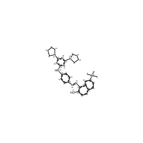 C[N+](C)(C)c1ccc2ccc(O)c(/N=N/c3ccc(Nc4nc(N5CCCC5)nc(N5CCCC5)n4)cc3)c2c1